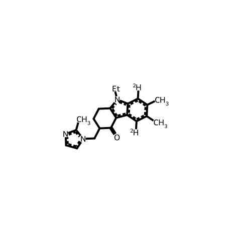 [2H]c1c(C)c(C)c([2H])c2c1c1c(n2CC)CCC(Cn2ccnc2C)C1=O